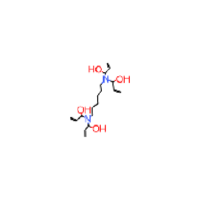 C=CC(O)N(CCCCCCN(C(O)C=C)C(O)C=C)C(O)C=C